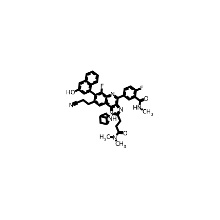 CNC(=O)c1cc(-c2nc3c(F)c(-c4cc(O)cc5ccccc45)c(CCC#N)cc3c3c2nc(CCC(=O)N(C)C)n3C2C3CNC2C3)ccc1F